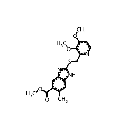 COC(=O)c1cc2nc(SCc3nccc(OC)c3OC)[nH]c2cc1C